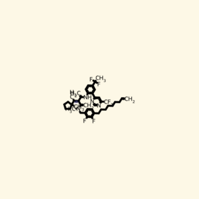 C=CCCCCCCCc1ccc(CN(C)C(=C)/C(C(=C)Nc2ccc(C(C)(F)F)cc2-c2cc(C(F)(F)F)ncn2)=C(/C)C2(C)CCCC2)c(F)c1F